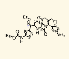 Bn1nnc(C2=C(CCl)C[S+]([O-])[C@@H]3[C@H](NC(=O)/C(=N\OCC)c4nsc(NC(=O)OC(C)(C)C)n4)C(=O)N23)n1